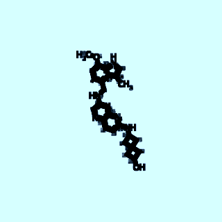 COc1ccc(CNc2cnc3ccc(NC4CC5(CC(O)C5)C4)nc3n2)c2c(C)c[nH]c12